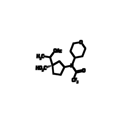 CC(=O)OC(C)[C@]1(C(=O)O)CCC(N(C(=O)C(F)(F)F)C2CCOCC2)C1